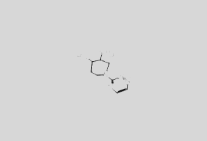 CC1CN(c2nccnn2)CCC1O